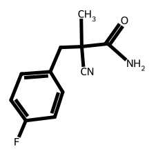 CC(C#N)(Cc1ccc(F)cc1)C(N)=O